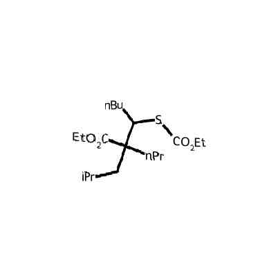 CCCCC(SC(=O)OCC)C(CCC)(CC(C)C)C(=O)OCC